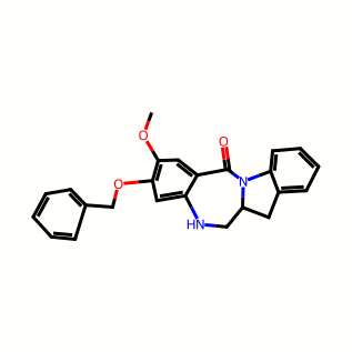 COc1cc2c(cc1OCc1ccccc1)NCC1Cc3ccccc3N1C2=O